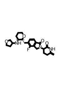 C=C1CCC(N2Cc3c(ccc(C[C@H]4OCCC[C@@H]4NC4CCOC4)c3F)C2=O)C(=O)N1